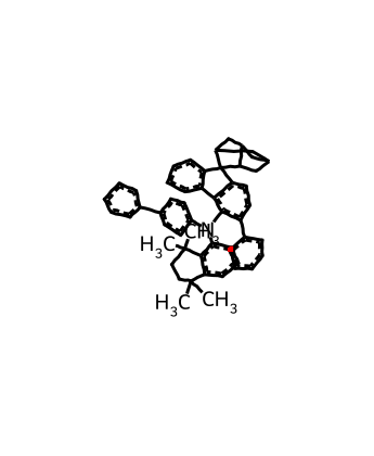 CC1(C)CCC(C)(C)c2c(N(c3ccc(-c4ccccc4)cc3)c3c(-c4ccccc4)ccc4c3-c3ccccc3C43C4CC5CC(C4)C3C5)cccc21